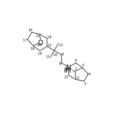 CC(C)C1C2CCC1CN(CCC(C)(C)C1CC3CCC(C1)O3)C2